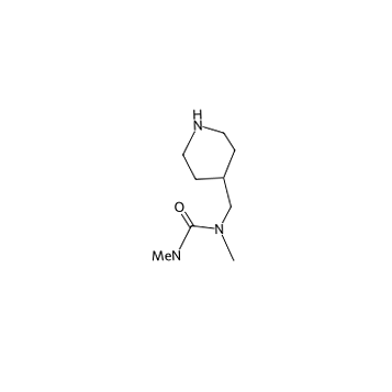 CNC(=O)N(C)CC1CCNCC1